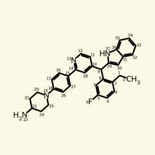 CCc1ccc(F)cc1C(c1ccnc(-c2ccc(N3CCC(N)CC3)cc2)c1)c1cc2ccccc2[nH]1